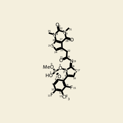 COP(=O)(O)On1c(-c2ccc(F)c(C(F)(F)F)c2F)csc1=NC(=O)Cc1csc2c1c(=O)n(C)c(=O)n2C